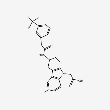 O=C(O)Cn1c2c(c3cc(F)ccc31)CC([AsH]C(=O)Cc1cccc(C(F)(F)F)c1)CC2